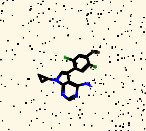 CNc1cc(F)c(-c2cn(C3CC3)c3ncnc(N)c23)cc1F